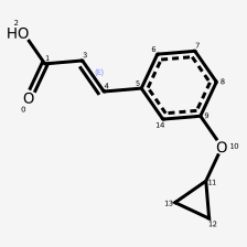 O=C(O)/C=C/c1cccc(OC2CC2)c1